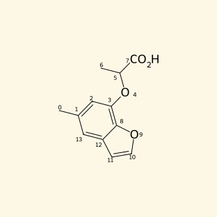 Cc1cc(OC(C)C(=O)O)c2occc2c1